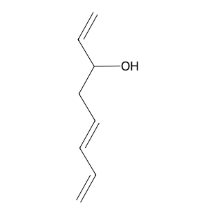 C=C/C=C/CC(O)C=C